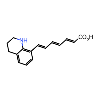 O=C(O)C=CC=CC=Cc1cccc2c1NCCC2